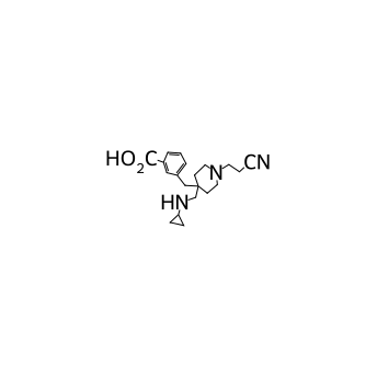 N#CCCN1CCC(CNC2CC2)(Cc2cccc(C(=O)O)c2)CC1